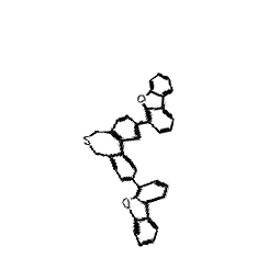 c1ccc2c(c1)oc1c(-c3ccc4c(c3)-c3cc(-c5cccc6c5oc5ccccc56)ccc3CSC4)cccc12